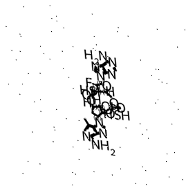 Cc1cnc(N)c2ncn([C@@H]3C[C@@H]4OP(=O)(S)[C@H]5[C@@H](F)[C@H](n6cnc7c(N)ncnc76)O[C@@H]5COP(=O)(S)O[C@@H]3[C@@H]4O)c12